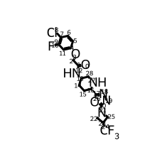 O=C(COc1ccc(Cl)c(F)c1)N[C@H]1CC[C@H](c2nnc(N3CC(C(F)(F)F)C3)o2)NC1